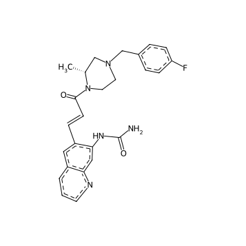 C[C@@H]1CN(Cc2ccc(F)cc2)CCN1C(=O)C=Cc1cc2cccnc2cc1NC(N)=O